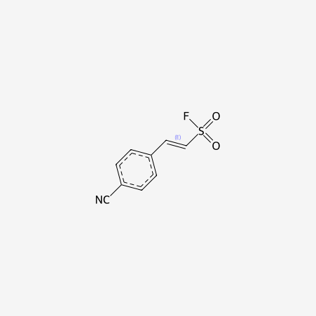 N#Cc1ccc(/C=C/S(=O)(=O)F)cc1